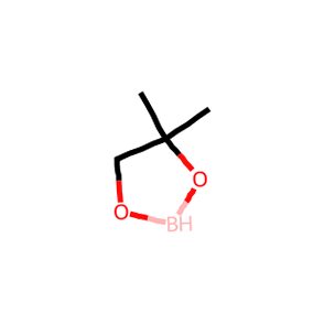 CC1(C)COBO1